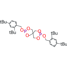 CC(C)(C)c1ccc(COP2OCC3(CO2)COP(OCc2ccc(C(C)(C)C)cc2C(C)(C)C)OC3)c(C(C)(C)C)c1